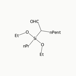 CCCCCC(C=O)[Si](CCC)(OCC)OCC